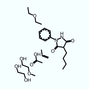 C=CC.CC(=O)O.CCCCC1C(=O)NN(c2ccccc2)C1=O.CCOCC.COCCO.OCCO